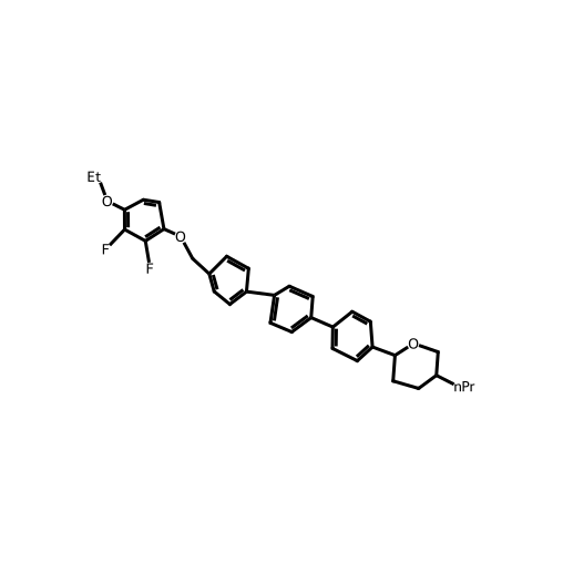 CCCC1CCC(c2ccc(-c3ccc(-c4ccc(COc5ccc(OCC)c(F)c5F)cc4)cc3)cc2)OC1